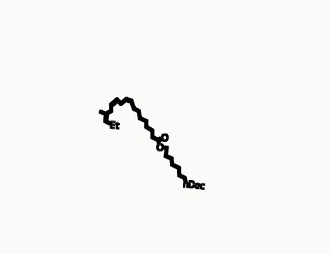 CC/C=C(/C)C/C=C\C/C=C\CCCCCCCC(=O)OCCCCCCCCCCCCCCCCC